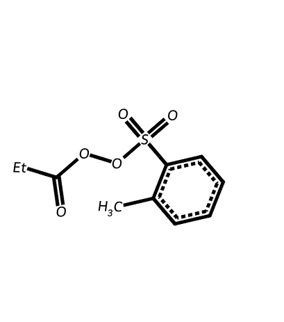 CCC(=O)OOS(=O)(=O)c1ccccc1C